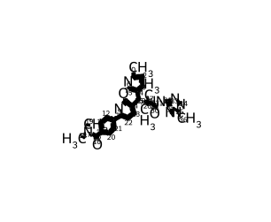 Cc1ccc2c(n1)Oc1nc(-c3ccc(C(=O)N(C)C)cc3)ccc1[C@H]2C(C)(C)C(=O)Nc1nnn(C)n1